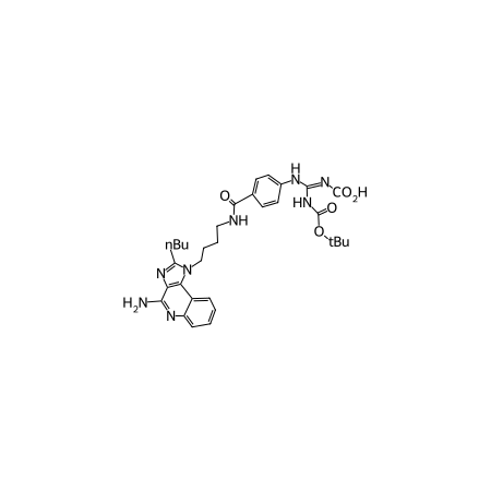 CCCCc1nc2c(N)nc3ccccc3c2n1CCCCNC(=O)c1ccc(N/C(=N/C(=O)O)NC(=O)OC(C)(C)C)cc1